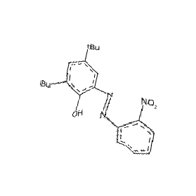 CCC(C)c1cc(C(C)(C)C)cc(N=Nc2ccccc2[N+](=O)[O-])c1O